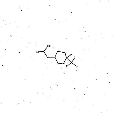 CC1(C(F)(F)F)CCC(CC(O)O)CC1